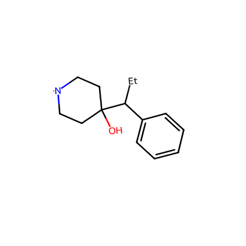 CCC(c1ccccc1)C1(O)CC[N]CC1